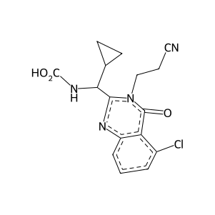 N#CCCn1c(C(NC(=O)O)C2CC2)nc2cccc(Cl)c2c1=O